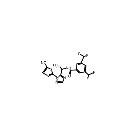 CC(NC(=O)c1cc(C(F)F)cc(C(F)F)c1)c1ncnn1-c1ncc(C#N)s1